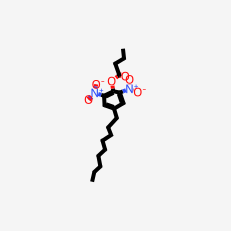 CCCCCCCCCc1cc([N+](=O)[O-])c(OC(=O)CCC)c([N+](=O)[O-])c1